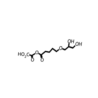 O=C(CCCCOCC(O)CO)OC(=O)C(=O)O